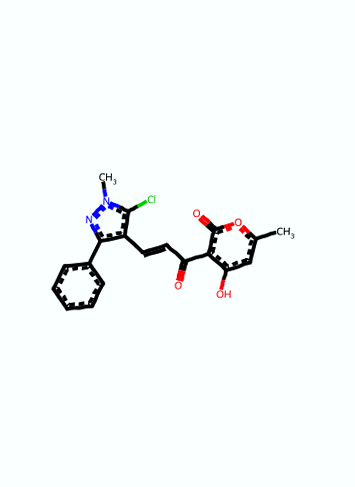 Cc1cc(O)c(C(=O)C=Cc2c(-c3ccccc3)nn(C)c2Cl)c(=O)o1